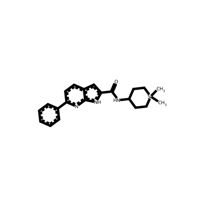 C[Si]1(C)CCC(NC(=O)c2cc3ccc(-c4ccccc4)nc3[nH]2)CC1